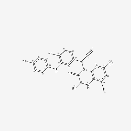 C#CC(OC(=O)C(Nc1ccc(C(F)(F)F)cc1F)C(C)C)c1ccc(F)c(Oc2ccc(F)cc2)c1